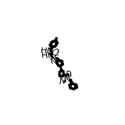 Cc1ccc(NC(=O)Nc2nc3cc(-c4ccc5ncn(Cc6ccccc6)c(=O)c5c4)ccc3s2)cc1